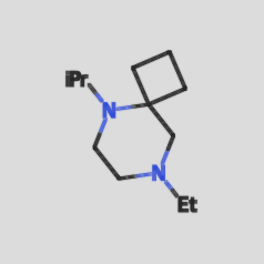 CCN1CCN(C(C)C)C2(CCC2)C1